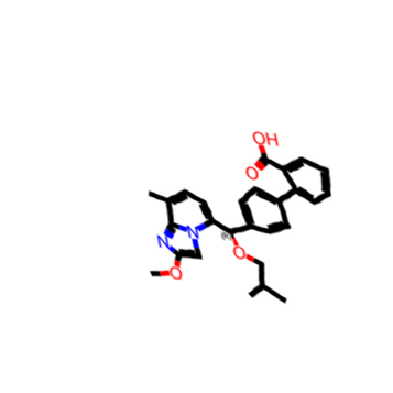 COc1cn2c([C@H](OCC(C)C)c3ccc(-c4ccccc4C(=O)O)cc3)ccc(C)c2n1